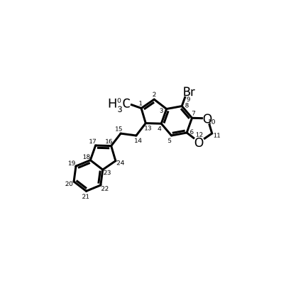 CC1=Cc2c(cc3c(c2Br)OCO3)C1CCC1=Cc2ccccc2C1